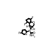 NC(=O)N(c1ccc(F)cn1)[C@@H]1[C@@H]2COc3c(F)ccc(F)c3[C@@H]21